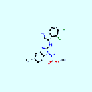 CCCCOC(=O)N(C)n1c(Nc2c[nH]c3ccc(F)c(F)c23)nc2cc(C(F)(F)F)ccc21